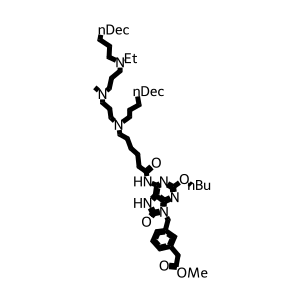 CCCCCCCCCCCCCN(CC)CCCN(C)CCCN(CCCCCCCCCCCCC)CCCCCC(=O)Nc1nc(OCCCC)nc2c1[nH]c(=O)n2Cc1cccc(CC(=O)OC)c1